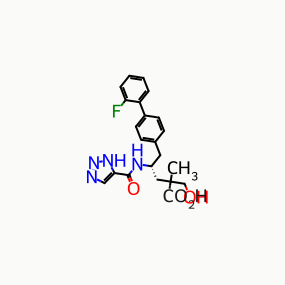 CC(CO)(C[C@@H](Cc1ccc(-c2ccccc2F)cc1)NC(=O)c1cnn[nH]1)C(=O)O